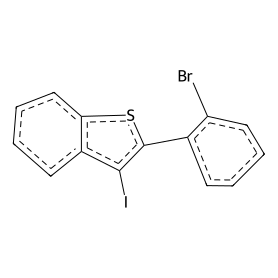 Brc1ccccc1-c1sc2ccccc2c1I